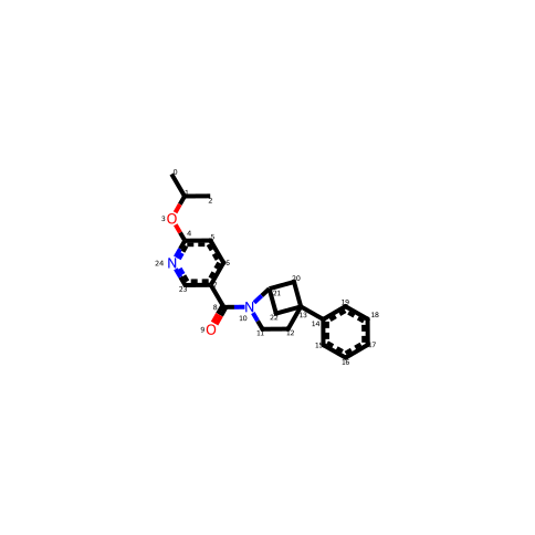 CC(C)Oc1ccc(C(=O)N2CCC3(c4ccccc4)CC2C3)cn1